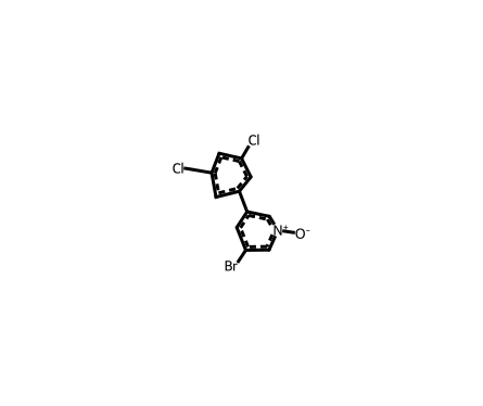 [O-][n+]1cc(Br)cc(-c2cc(Cl)cc(Cl)c2)c1